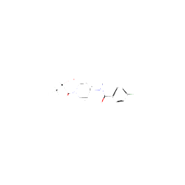 C[C@H]1CN(C(=O)C(C)(O)C(F)(F)F)CC[C@H]1N(C)C(=O)c1ccc(F)cc1